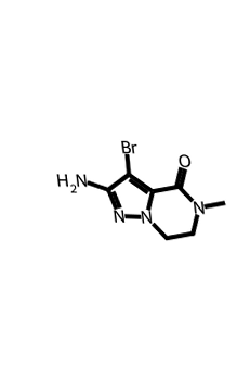 CN1CCn2nc(N)c(Br)c2C1=O